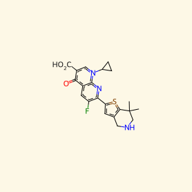 CC1(C)CNCc2cc(-c3nc4c(cc3F)c(=O)c(C(=O)O)cn4C3CC3)sc21